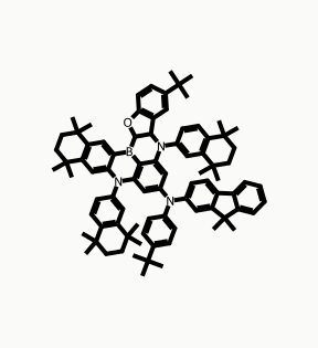 CC(C)(C)c1ccc(N(c2cc3c4c(c2)N(c2ccc5c(c2)C(C)(C)CCC5(C)C)C2c5cc(C(C)(C)C)ccc5OC2B4c2cc4c(cc2N3c2ccc3c(c2)C(C)(C)CCC3(C)C)C(C)(C)CCC4(C)C)c2ccc3c(c2)C(C)(C)c2ccccc2-3)cc1